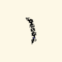 CCOC(=O)/C=C/c1ccc(N2CCN(c3ncc(-c4cccc(CN(C)C)c4)cn3)CC2)nc1